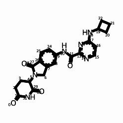 O=C1CCC(N2Cc3cc(NC(=O)c4nccc(NC5CCC5)n4)ccc3C2=O)C(=O)N1